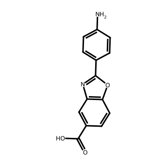 Nc1ccc(-c2nc3cc(C(=O)O)ccc3o2)cc1